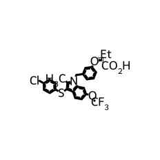 CC[C@@H](Oc1cccc(Cn2c(C)c(Sc3ccc(Cl)cc3)c3ccc(OC(F)(F)F)cc32)c1)C(=O)O